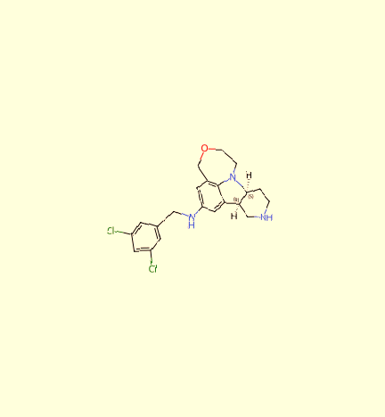 Clc1cc(Cl)cc(CNc2cc3c4c(c2)[C@@H]2CNCC[C@@H]2N4CCOC3)c1